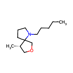 CCCCCN1CCCC12COC[C@@H]2C